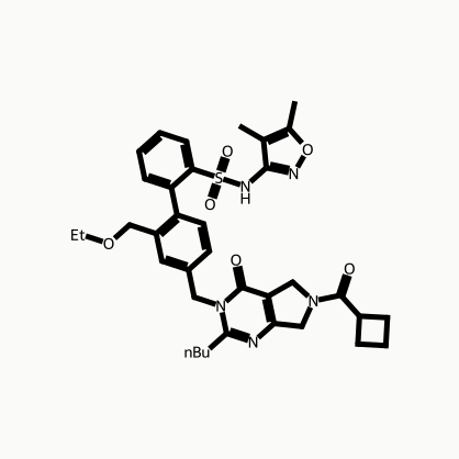 CCCCc1nc2c(c(=O)n1Cc1ccc(-c3ccccc3S(=O)(=O)Nc3noc(C)c3C)c(COCC)c1)CN(C(=O)C1CCC1)C2